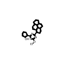 CCOc1nc(-c2ccccc2O)nc(-c2ccc3ccc4cccc5ccc2c3c45)n1